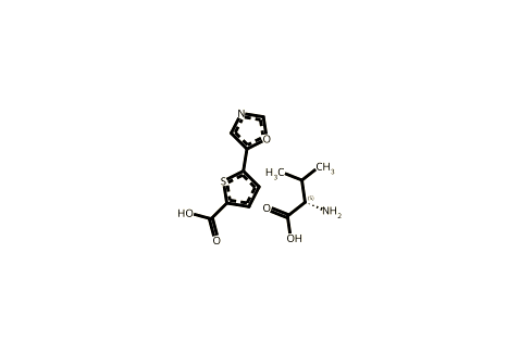 CC(C)[C@H](N)C(=O)O.O=C(O)c1ccc(-c2cnco2)s1